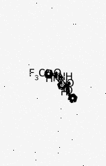 N=C(NC(=O)c1ccc(C(F)(F)F)cc1)[C@@H]1CC[C@@H]2CN1C(=O)N2OCc1ccccc1